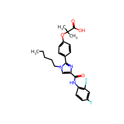 CCCCCn1cc(C(=O)Nc2ccc(F)cc2F)nc1-c1ccc(OC(C)(C)C(=O)O)cc1